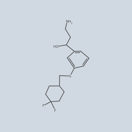 NCCC(O)c1cccc(SCC2CCC(F)(F)CC2)c1